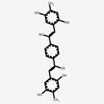 Cc1cc(O)c(/C=C(\C#N)c2ccc(/C(C#N)=C/c3cc(O)c(C)cc3O)cc2)cc1O